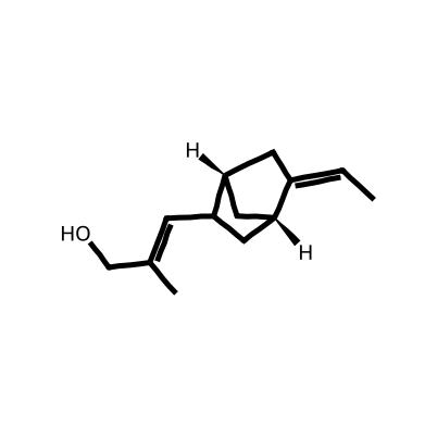 C/C=C1/C[C@@H]2C[C@H]1CC2/C=C(\C)CO